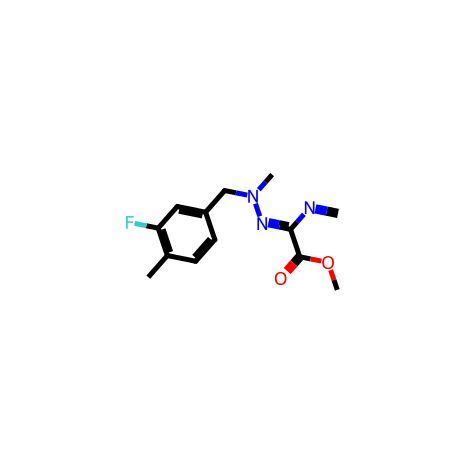 C=N/C(=N\N(C)Cc1ccc(C)c(F)c1)C(=O)OC